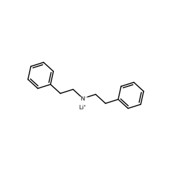 [Li+].c1ccc(CC[N-]CCc2ccccc2)cc1